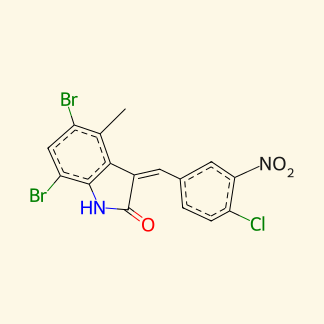 Cc1c(Br)cc(Br)c2c1C(=Cc1ccc(Cl)c([N+](=O)[O-])c1)C(=O)N2